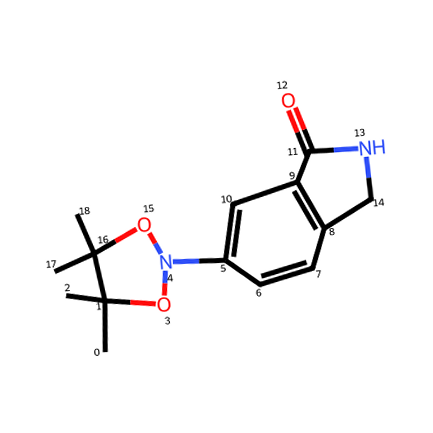 CC1(C)ON(c2ccc3c(c2)C(=O)NC3)OC1(C)C